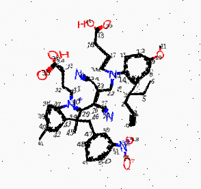 C=CC[C@](C)(CC)c1cc(OC)ccc1N(CCCC(=O)O)C/C(C#N)=C(\C#N)C1=[N+](CCCC(=O)O)c2ccc(C)cc2C1(C)Cc1cccc([N+](=O)[O-])c1